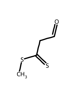 CSC(=S)CC=O